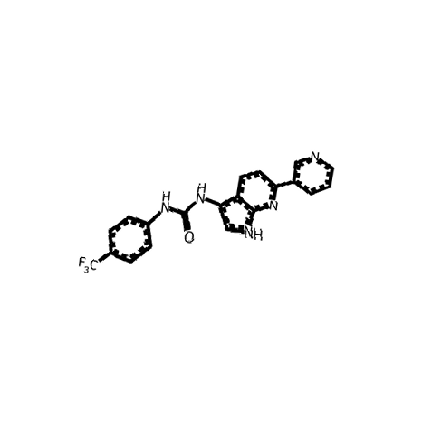 O=C(Nc1ccc(C(F)(F)F)cc1)Nc1c[nH]c2nc(-c3cccnc3)ccc12